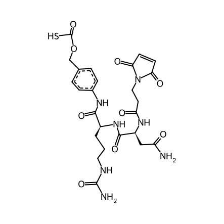 NC(=O)C[C@H](NC(=O)CCN1C(=O)C=CC1=O)C(=O)N[C@@H](CCCNC(N)=O)C(=O)Nc1ccc(COC(=O)S)cc1